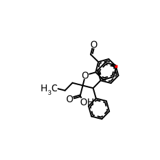 CCCC(Oc1ccccc1C=O)(C(=O)O)C(c1ccccc1)c1ccccc1